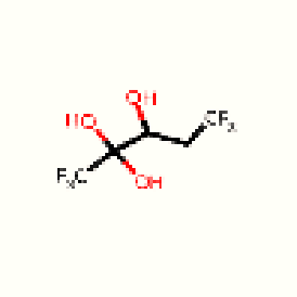 OC(CC(F)(F)F)C(O)(O)C(F)(F)F